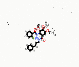 COc1cc(C(=O)NCCCc2ccccc2)c(NC(=O)c2ccccc2F)c(OC)c1OC